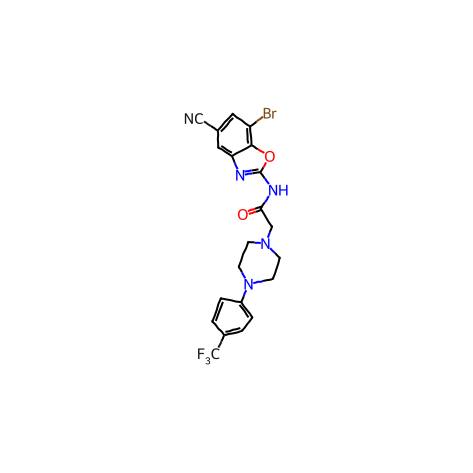 N#Cc1cc(Br)c2oc(NC(=O)CN3CCN(c4ccc(C(F)(F)F)cc4)CC3)nc2c1